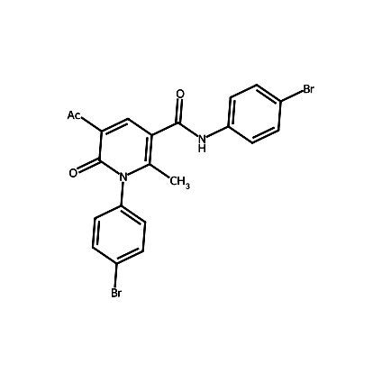 CC(=O)c1cc(C(=O)Nc2ccc(Br)cc2)c(C)n(-c2ccc(Br)cc2)c1=O